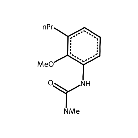 CCCc1cccc(NC(=O)NC)c1OC